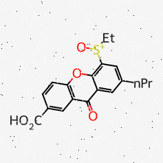 CCCc1cc([S+]([O-])CC)c2oc3ccc(C(=O)O)cc3c(=O)c2c1